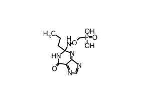 CCCC1(NOCP(=O)(O)O)N=C2N=CN=C2C(=O)N1